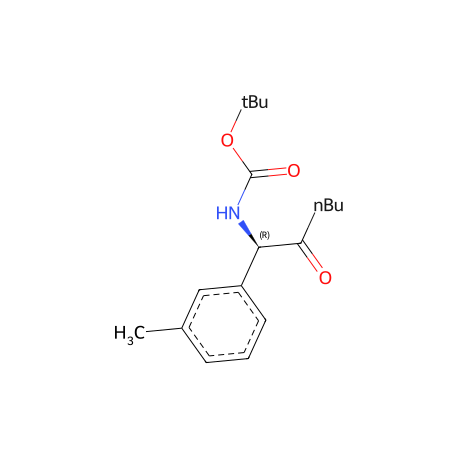 CCCCC(=O)[C@H](NC(=O)OC(C)(C)C)c1cccc(C)c1